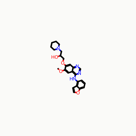 COc1cc2c(Nc3cccc4occc34)ncnc2cc1OCC(O)CN1CCCCC1